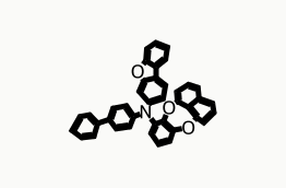 c1ccc(-c2ccc(N(c3ccc4c(c3)oc3ccccc34)c3cccc4c3Oc3cccc5cccc(c35)O4)cc2)cc1